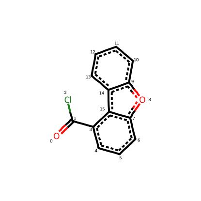 O=C(Cl)c1cccc2oc3ccccc3c12